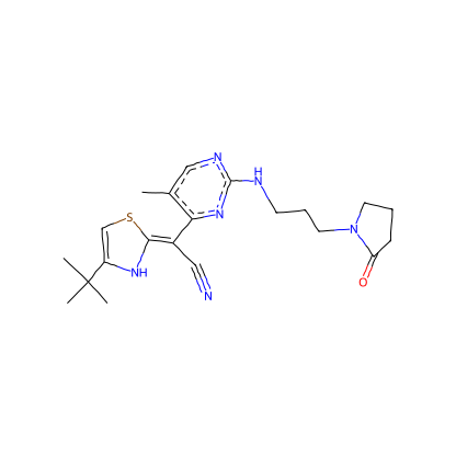 Cc1cnc(NCCCN2CCCC2=O)nc1C(C#N)=C1NC(C(C)(C)C)=CS1